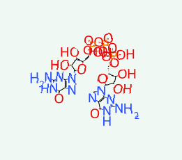 Nc1nc2c(ncn2[C@@H]2O[C@H](COP(=O)(O)OP(=O)(O)OP(=O)(O)OC[C@H]3O[C@@H](n4cnc5c(=O)[nH]c(N)nc54)[C@@H](O)[C@@H]3O)[C@@H](O)[C@H]2O)c(=O)[nH]1